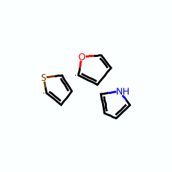 [c]1ccco1.[c]1cccs1.c1cc[nH]c1